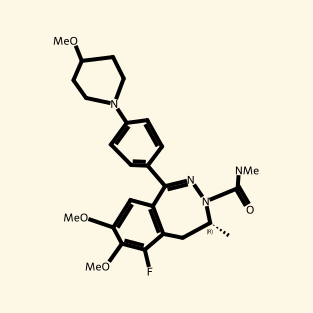 CNC(=O)N1N=C(c2ccc(N3CCC(OC)CC3)cc2)c2cc(OC)c(OC)c(F)c2C[C@H]1C